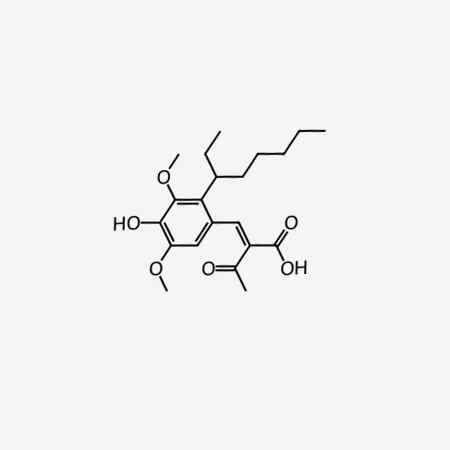 CCCCCC(CC)c1c(/C=C(\C(C)=O)C(=O)O)cc(OC)c(O)c1OC